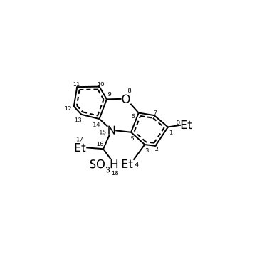 CCc1cc(CC)c2c(c1)Oc1ccccc1N2C(CC)S(=O)(=O)O